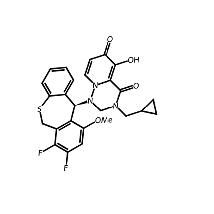 COc1cc(F)c(F)c2c1[C@H](N1CN(CC3CC3)C(=O)c3c(O)c(=O)ccn31)c1ccccc1SC2